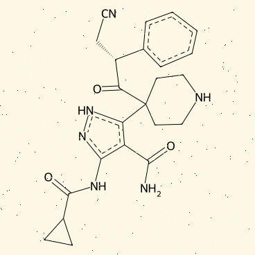 N#CC[C@@H](C(=O)C1(c2[nH]nc(NC(=O)C3CC3)c2C(N)=O)CCNCC1)c1ccccc1